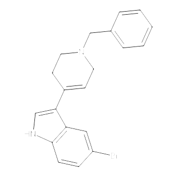 Brc1ccc2[nH]cc(C3=CCN(Cc4ccccc4)CC3)c2c1